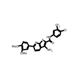 COc1ccc(-c2ccc3c(N)c(C(=O)Nc4ccc(Cl)c(C(F)(F)F)c4)sc3n2)cc1OC